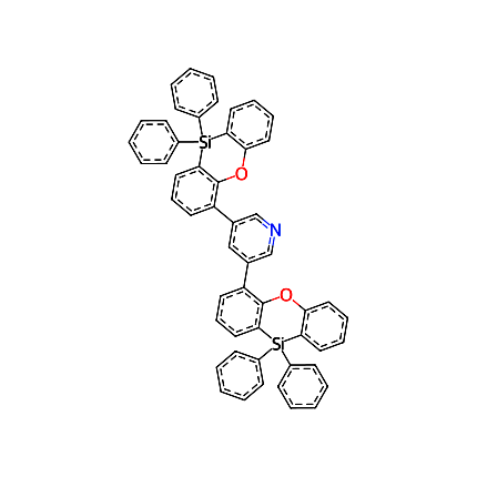 c1ccc([Si]2(c3ccccc3)c3ccccc3Oc3c(-c4cncc(-c5cccc6c5Oc5ccccc5[Si]6(c5ccccc5)c5ccccc5)c4)cccc32)cc1